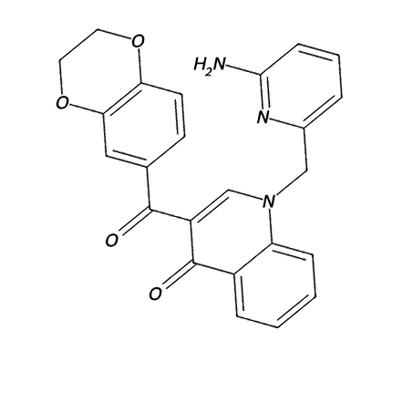 Nc1cccc(Cn2cc(C(=O)c3ccc4c(c3)OCCO4)c(=O)c3ccccc32)n1